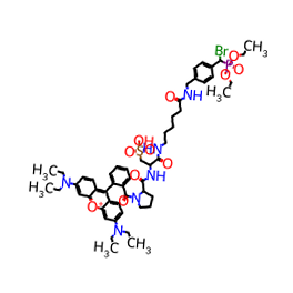 CCOP(=O)(OCC)C(Br)c1ccc(CNC(=O)CCCCCNC(=O)C(CS(=O)(=O)O)NC(=O)C2CCCN2C(=O)c2ccccc2-c2c3ccc(N(CC)CC)cc3[o+]c3cc(N(CC)CC)ccc23)cc1